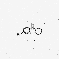 Brc1ccc(NC2CCCCC2)nc1